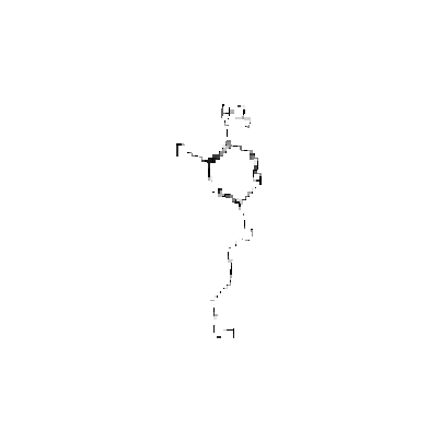 O=[N+]([O-])c1ccc(OCCCO)cc1F